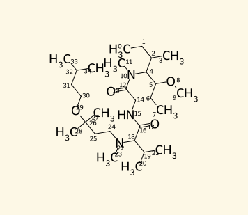 CCC(C)C(C(CC)OC)N(C)C(=O)CNC(=O)C(C(C)C)N(C)CCC(C)(C)OCCC(C)C